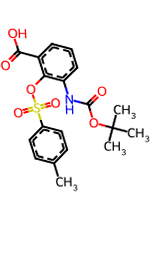 Cc1ccc(S(=O)(=O)Oc2c(NC(=O)OC(C)(C)C)cccc2C(=O)O)cc1